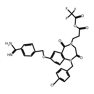 N=C(N)c1ccc(COc2ccc3c(c2)C(=O)N(CCC(=O)OC(=O)C(F)(F)F)CC(=O)N3Cc2ccc(Cl)cc2)cc1